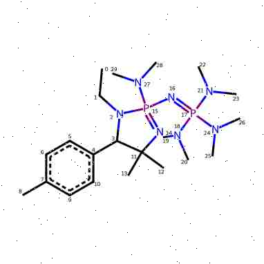 CCN1C(c2ccc(C)cc2)C(C)(C)N=P1(N=P(N(C)C)(N(C)C)N(C)C)N(C)C